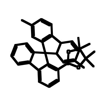 CC1=CC2C(C=C1)c1ccc(C)cc1C21c2ccccc2-c2cccc(B3OC(C)(C)C(C)(C)O3)c21